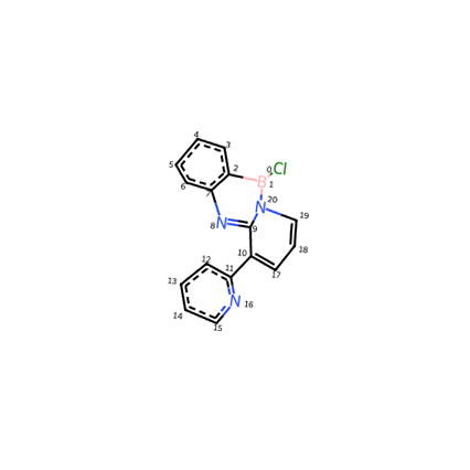 ClB1c2ccccc2N=C2C(c3ccccn3)=CC=CN12